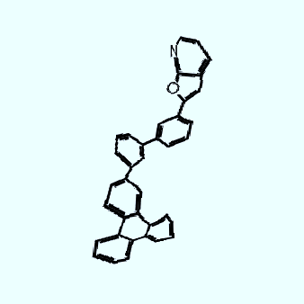 c1cc(-c2cccc(-c3cc4cccnc4o3)c2)cc(-c2ccc3c4ccccc4c4ccccc4c3c2)c1